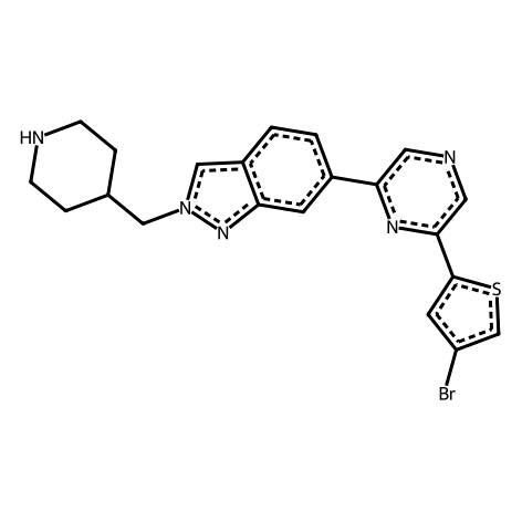 Brc1csc(-c2cncc(-c3ccc4cn(CC5CCNCC5)nc4c3)n2)c1